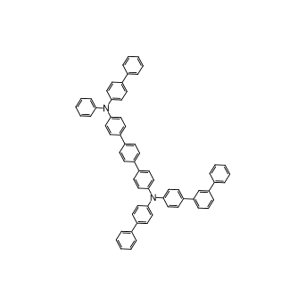 c1ccc(-c2ccc(N(c3ccccc3)c3ccc(-c4ccc(-c5ccc(N(c6ccc(-c7ccccc7)cc6)c6ccc(-c7cccc(-c8ccccc8)c7)cc6)cc5)cc4)cc3)cc2)cc1